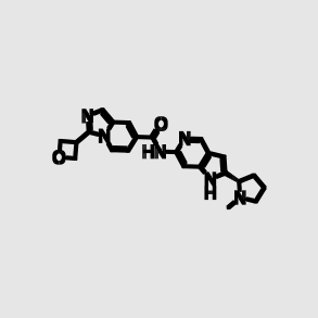 CN1CCC[C@@H]1c1cc2cnc(NC(=O)c3ccn4c(C5COC5)ncc4c3)cc2[nH]1